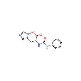 O=C(Nc1ccccc1)NC(Cc1cnc[nH]1)C(=O)O